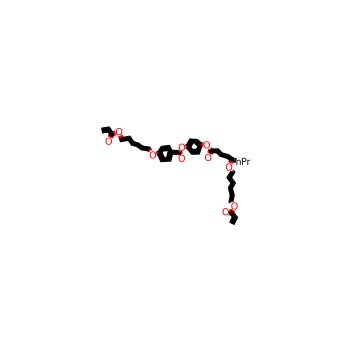 C=CC(=O)OCCCCCCOc1ccc(C(=O)Oc2ccc(OC(=O)CCCC(CCC)OCCCCCCOC(=O)C=C)cc2)cc1